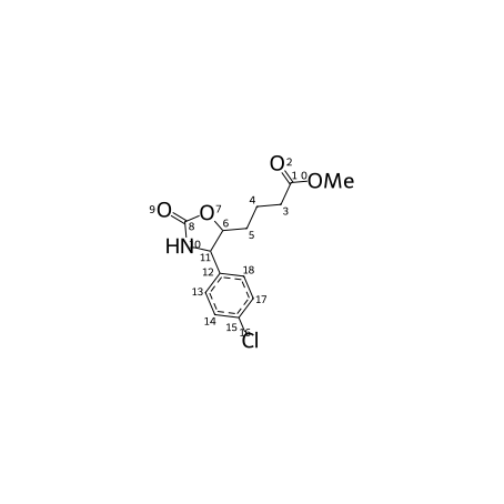 COC(=O)CCCC1OC(=O)NC1c1ccc(Cl)cc1